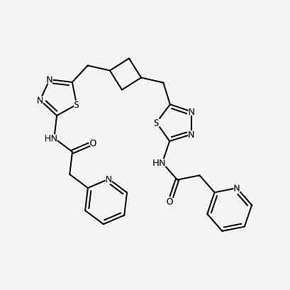 O=C(Cc1ccccn1)Nc1nnc(CC2CC(Cc3nnc(NC(=O)Cc4ccccn4)s3)C2)s1